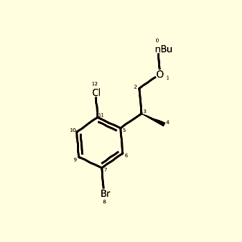 CCCCOC[C@@H](C)c1cc(Br)ccc1Cl